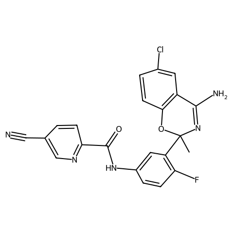 CC1(c2cc(NC(=O)c3ccc(C#N)cn3)ccc2F)N=C(N)c2cc(Cl)ccc2O1